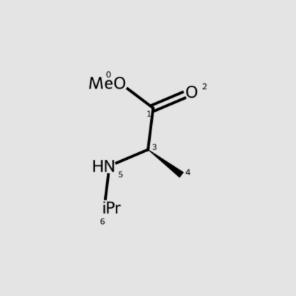 COC(=O)[C@@H](C)NC(C)C